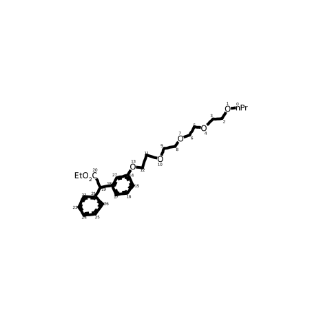 CCCOCCOCCOCCOCCOc1cccc(C(C(=O)OCC)c2ccccc2)c1